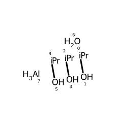 CC(C)O.CC(C)O.CC(C)O.O.[AlH3]